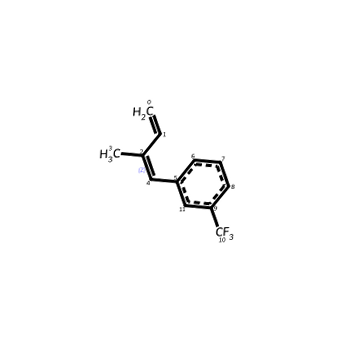 C=C/C(C)=C\c1cccc(C(F)(F)F)c1